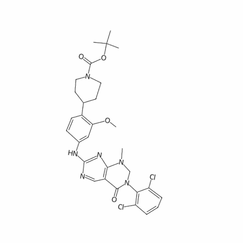 COc1cc(Nc2ncc3c(n2)N(C)CN(c2c(Cl)cccc2Cl)C3=O)ccc1C1CCN(C(=O)OC(C)(C)C)CC1